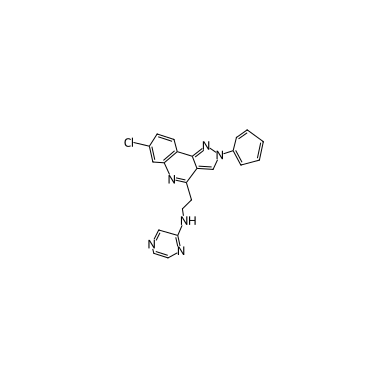 Clc1ccc2c(c1)nc(CCNc1cnccn1)c1cn(-c3ccccc3)nc12